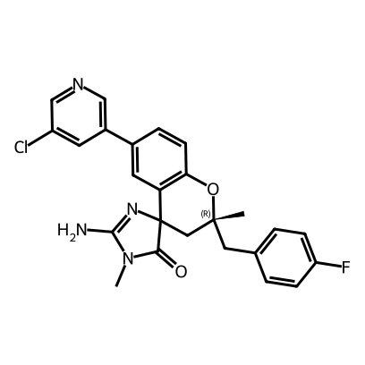 CN1C(=O)C2(C[C@@](C)(Cc3ccc(F)cc3)Oc3ccc(-c4cncc(Cl)c4)cc32)N=C1N